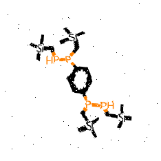 C[Si](C)(C)CPP(C[Si](C)(C)C)c1ccc(P(C[Si](C)(C)C)PC[Si](C)(C)C)cc1